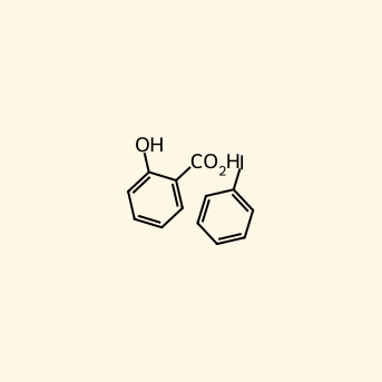 Ic1ccccc1.O=C(O)c1ccccc1O